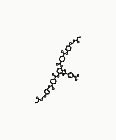 C=CC(=O)OCOc1ccc(OC(=O)C2CCC(C(=O)Oc3ccc(OC(=O)C4CCC(C(=O)Oc5ccc(OCOC(=O)C=C)cc5)CC4)c4sc(-c5ccc([N+](=O)[O-])cc5)nc34)CC2)cc1